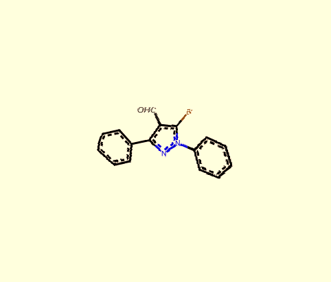 O=Cc1c(-c2ccccc2)nn(-c2ccccc2)c1Br